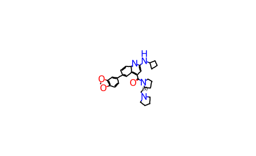 O=C(c1cc(NC2CCC2)nc2ccc(-c3ccc4c(c3)OCO4)cc12)N1CCC[C@H]1CN1CCCC1